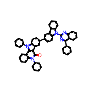 O=c1c2c3cc(-c4ccc5c(c4)c4ccccc4n5-c4nc(-c5ccccc5)c5ccccc5n4)ccc3n(-c3ccccc3)c2c2ccccc2n1-c1ccccc1